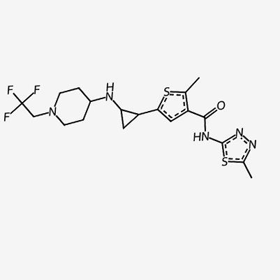 Cc1nnc(NC(=O)c2cc(C3CC3NC3CCN(CC(F)(F)F)CC3)sc2C)s1